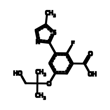 Cc1cnc(-c2cc(OC(C)(C)CO)cc(C(=O)O)c2F)s1